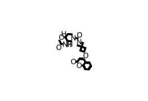 O=C1CO[C@H]2CCN(C(=O)N3CC4(CC(Oc5cc(=O)oc6ccccc56)C4)C3)C[C@H]2N1